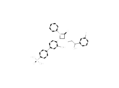 O=C1[C@H](CCC(O)c2cccc(F)c2)[C@@H](c2ccc(-c3ccc(P(=O)(O)O)cc3)cc2O)N1c1ccccc1